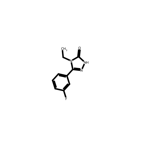 CCn1c(-c2cccc(F)c2)n[nH]c1=O